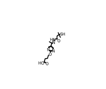 C/C(=N\NC(=O)CC(C)(C)S)c1cnc(OCCCC(=O)O)nc1